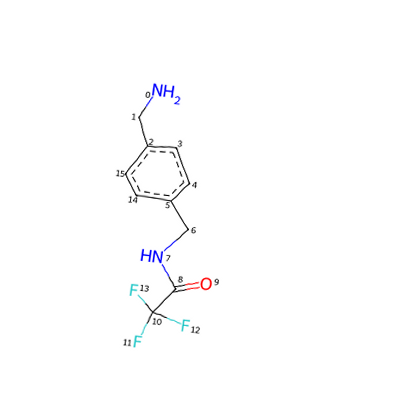 NCc1ccc(CNC(=O)C(F)(F)F)cc1